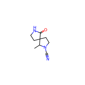 CC1N(C#N)CCC12CCNC2=O